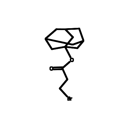 O=C(CCBr)OC12CC3CC(CC(C3)C1)C2